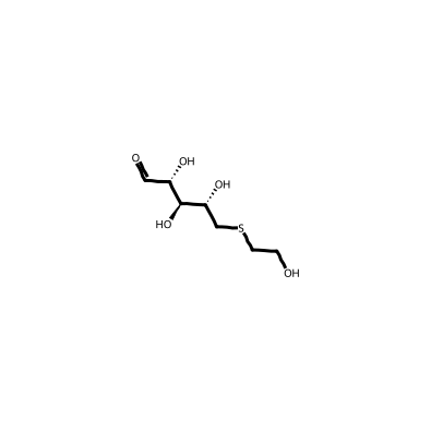 O=C[C@H](O)[C@H](O)[C@H](O)CSCCO